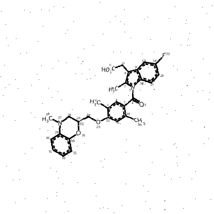 Cc1cc(C(=O)n2c(C)c(CC(=O)O)c3cc(F)ccc32)c(C)cc1OC[C@@H]1CN(C)c2ccccc2O1